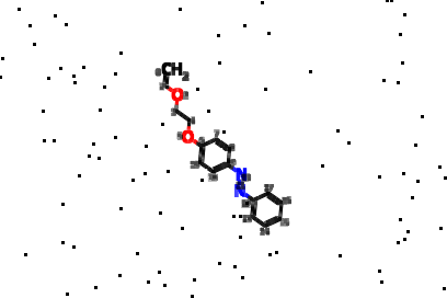 C=COCCOc1ccc(N=Nc2ccccc2)cc1